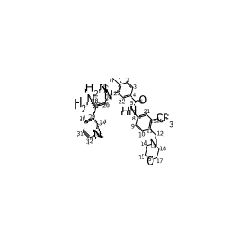 Cc1ccc(C(=O)Nc2ccc(CN3CCOCC3)c(C(F)(F)F)c2)cc1N(N)/C=C(\N)c1cccnc1